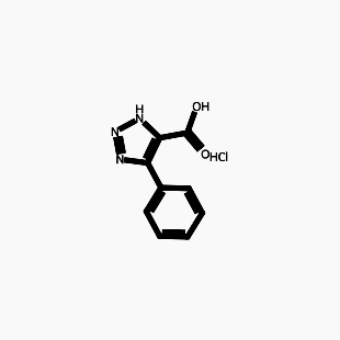 Cl.O=C(O)c1[nH]nnc1-c1ccccc1